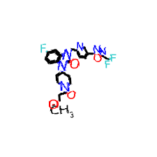 COCCC(=O)N1CCC(n2c(=O)n(Cc3ccc(-c4nnc(C(F)F)o4)cn3)c3cc(F)ccc32)CC1